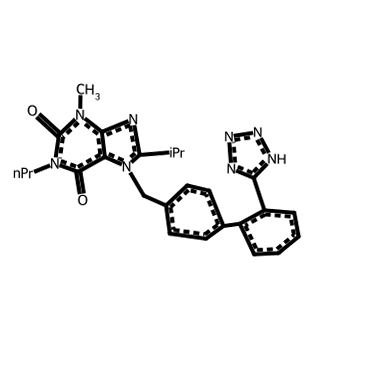 CCCn1c(=O)c2c(nc(C(C)C)n2Cc2ccc(-c3ccccc3-c3nnn[nH]3)cc2)n(C)c1=O